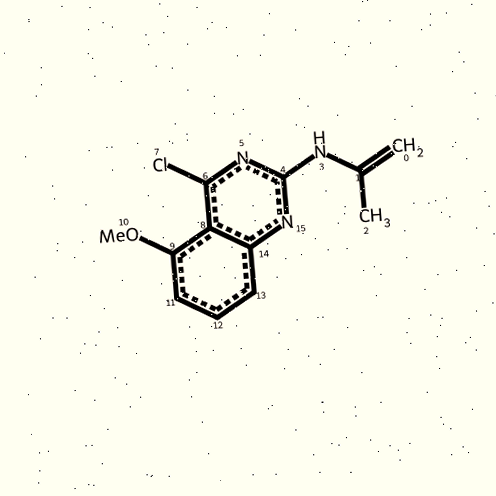 C=C(C)Nc1nc(Cl)c2c(OC)cccc2n1